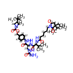 CCC1(C(C)C)CC(=O)N(CCCCCC(=O)N[C@H](C(=O)N[C@@H](CNC(N)=O)C(=O)Nc2ccc(COC(=O)N3CC(C(C)(C)C)C3)cc2)C(C)C)C1=O